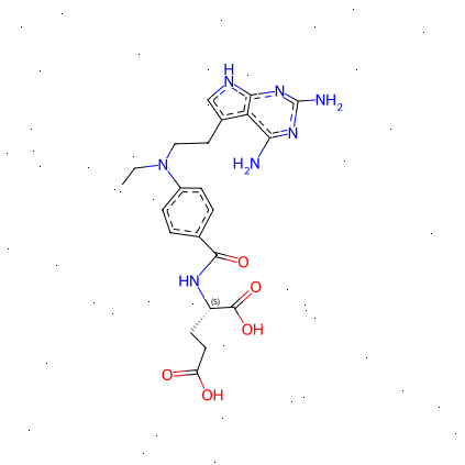 CCN(CCc1c[nH]c2nc(N)nc(N)c12)c1ccc(C(=O)N[C@@H](CCC(=O)O)C(=O)O)cc1